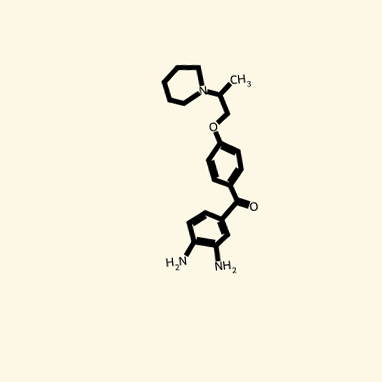 CC(COc1ccc(C(=O)c2ccc(N)c(N)c2)cc1)N1CCCCC1